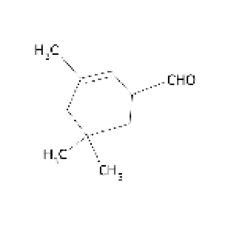 CC1=CC(C=O)CC(C)(C)C1